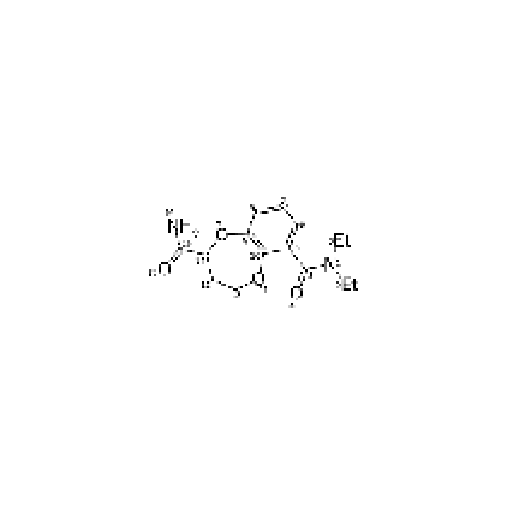 CCN(CC)C(=O)c1c[c]cc2c1OCCC(C(N)=O)O2